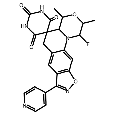 CC1OC(C)C2N(c3cc4onc(-c5ccncc5)c4cc3CC23C(=O)NC(=O)NC3=O)C1F